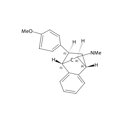 CN[C@@H]1C[C@@H]2c3ccccc3[C@H]1C[C@@H]2c1ccc(OC)cc1